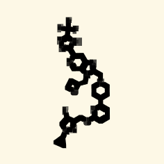 Fc1cn(C2CC2)nc1COc1cccc(C2CCN(Cc3nc4cc(-c5nnc(C(F)(F)F)[nH]5)ncc4n3C[C@@H]3CCO3)CC2)n1